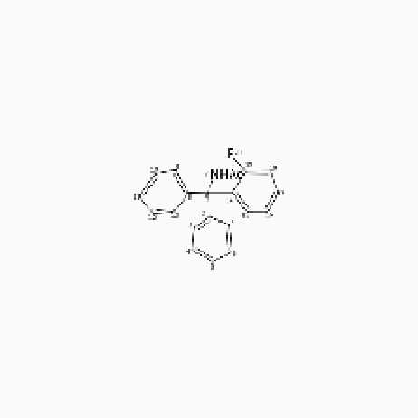 CC(=O)NC(c1ccccc1)(c1ccccc1)c1ccccc1F